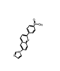 O=[Si](O)c1ccc(-c2ccc3cc(-n4ccnc4)ccc3n2)cc1